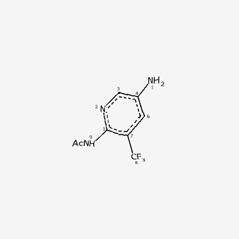 CC(=O)Nc1ncc(N)cc1C(F)(F)F